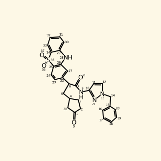 O=C1CCC(CC(C(=O)Nc2ccn(Cc3ccccc3)n2)c2ccc3c(c2)Nc2ccccc2S3(=O)=O)C1